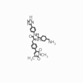 Cn1cc(-c2ccc(C[C@H](NC(=O)C3CCC(CN)CC3)C(=O)Nc3ccc(-c4nn[nH]n4)cc3)cc2)c(=O)n(C)c1=O